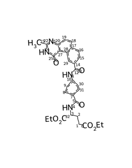 CCOC(=O)CC[C@@H](NC(=O)c1ccc(NC(=O)c2ccc3ccc4nc(C)[nH]c(=O)c4c3c2)cc1)C(=O)OCC